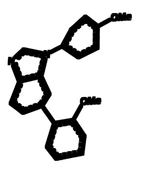 COc1ccc(-n2cnc3ccc(-c4ccccc4OC)cc32)cc1